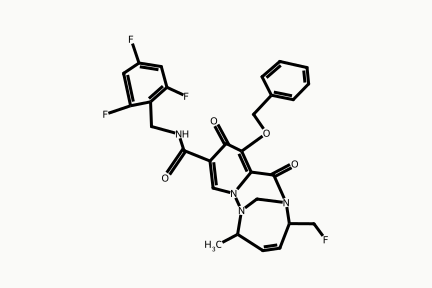 CC1C=CC(CF)N2CN1n1cc(C(=O)NCc3c(F)cc(F)cc3F)c(=O)c(OCc3ccccc3)c1C2=O